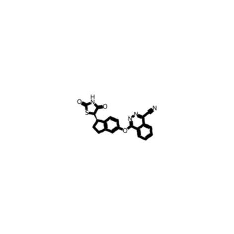 N#Cc1nnc(Oc2ccc3c(c2)CC[C@H]3C2SC(=O)NC2=O)c2ccccc12